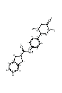 C[C@H]1CC(=O)N(C)N=C1c1ccc(NC(=O)N2Cc3ccncc3C2)cc1